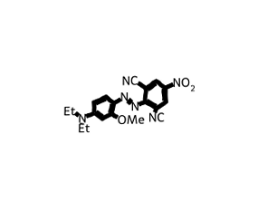 CCN(CC)c1ccc(N=Nc2c(C#N)cc([N+](=O)[O-])cc2C#N)c(OC)c1